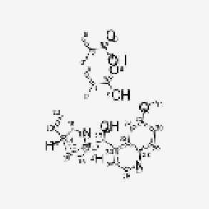 C=C(C)C(=O)O.C=C(C)C(=O)O.C=C[C@@H]1CN2CCC1C[C@@H]2C(O)c1ccnc2ccc(OC)cc12